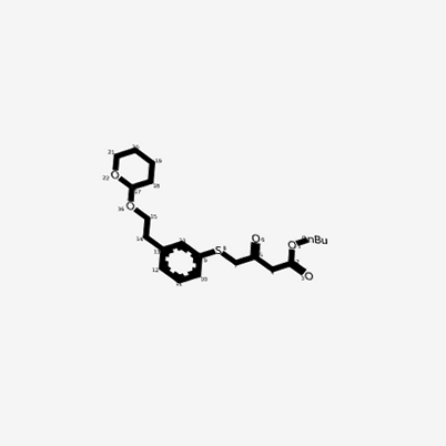 CCCCOC(=O)CC(=O)CSc1cccc(CCOC2CCCCO2)c1